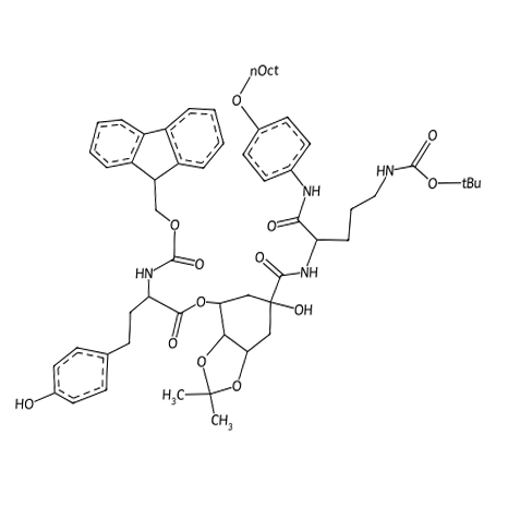 CCCCCCCCOc1ccc(NC(=O)C(CCCNC(=O)OC(C)(C)C)NC(=O)C2(O)CC(OC(=O)C(CCc3ccc(O)cc3)NC(=O)OCC3c4ccccc4-c4ccccc43)C3OC(C)(C)OC3C2)cc1